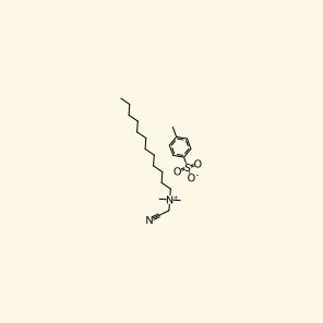 CCCCCCCCCCCC[N+](C)(C)CC#N.Cc1ccc(S(=O)(=O)[O-])cc1